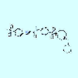 CN(C(=O)/C=C/c1ccc(S(C)(=O)=O)cc1)c1ccc(S(=O)(=O)N2CCCN(CC3CCCCC3)CC2)cc1